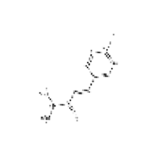 CCCCN(CCCC)C(=O)C=Cc1ccc(F)cc1